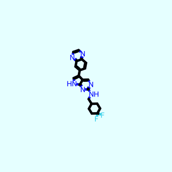 FC1(F)CCC(CNc2ncc3c(-c4ccc5nccnc5c4)c[nH]c3n2)CC1